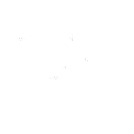 COc1cc(NC2c3ccsc3C=C(c3ccccc3)N2C)cc(OC)c1